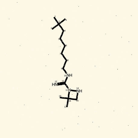 CC(C)(C)CCCCCCNC(=N)N1NCC1(C)C